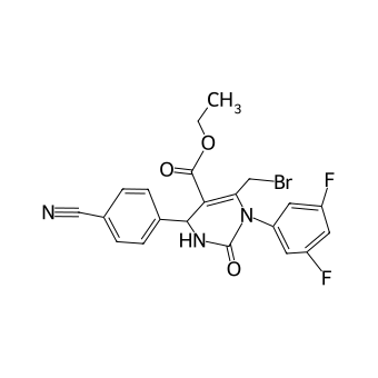 CCOC(=O)C1=C(CBr)N(c2cc(F)cc(F)c2)C(=O)NC1c1ccc(C#N)cc1